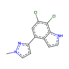 Cn1ccc(-c2cc(Cl)c(Cl)c3[nH]ccc23)n1